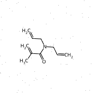 C=CCN(CC=C)C(=O)C(=C)C